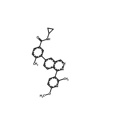 COc1ccc(-c2nncc3cc(-c4cc(C(=O)NC5CC5)ccc4C)ccc23)c(C)n1